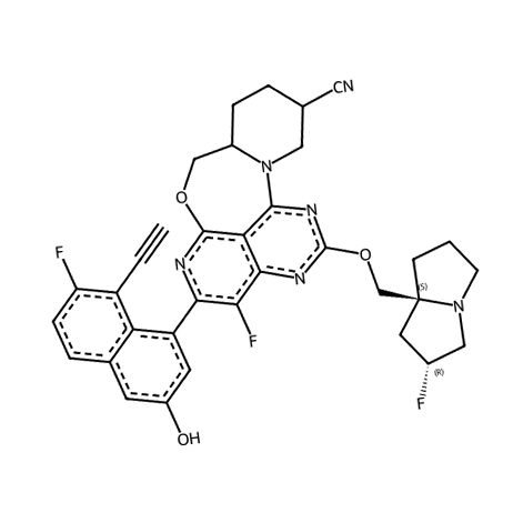 C#Cc1c(F)ccc2cc(O)cc(-c3nc4c5c(nc(OC[C@@]67CCCN6C[C@H](F)C7)nc5c3F)N3CC(C#N)CCC3CO4)c12